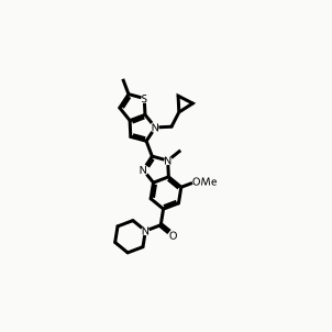 COc1cc(C(=O)N2CCCCC2)cc2nc(-c3cc4cc(C)sc4n3CC3CC3)n(C)c12